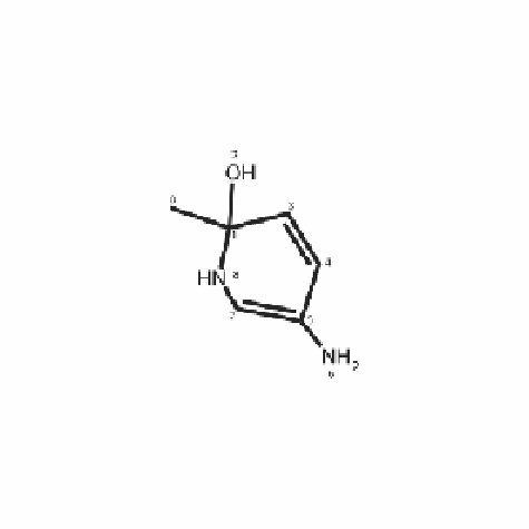 CC1(O)C=CC(N)=CN1